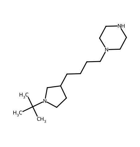 CC(C)(C)N1CCC(CCCCN2CCNCC2)C1